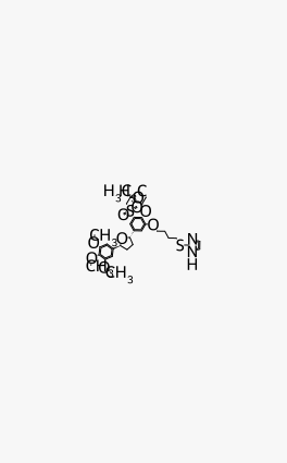 CCCOc1c(OCCCCSc2ncc[nH]2)cc([C@@H]2CC[C@@H](c3cc(OC)c(OC)c(OC)c3)O2)cc1S(=O)(=O)CC(C)=O